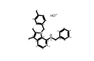 Cc1ccc(Cn2c(C)c(C)c3ccnc(NCc4ccccc4)c32)cc1.Cl